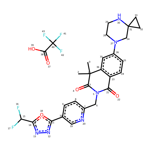 CC1(C)C(=O)N(Cc2ccc(-c3nnc(C(F)F)o3)cn2)C(=O)c2ccc(N3CCNC4(CC4)C3)cc21.O=C(O)C(F)(F)F